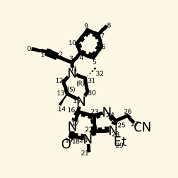 CC#CC(c1ccc(C)cc1)N1C[C@H](C)N(c2nc(=O)n(C)c3c2nc(CC#N)n3CC)C[C@H]1C